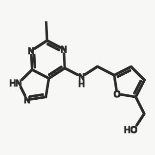 Cc1nc(NCc2ccc(CO)o2)c2cn[nH]c2n1